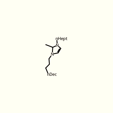 CCCCCCCCCCCCCN1C=CN(CCCCCCC)C1C